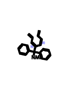 C=C/C=C\C(=C/C=C)C(NC)(c1ccccc1)c1ccccc1